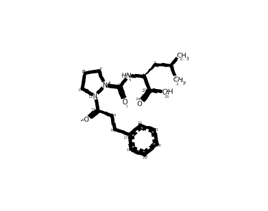 CC(C)C[C@H](NC(=O)N1CCCN1C(=O)CCc1ccccc1)C(=O)O